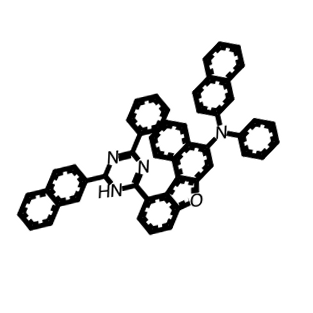 c1ccc(C2=NC(c3ccc4ccccc4c3)NC(c3cccc4oc5cc(N(c6ccccc6)c6ccc7ccccc7c6)c6ccccc6c5c34)=N2)cc1